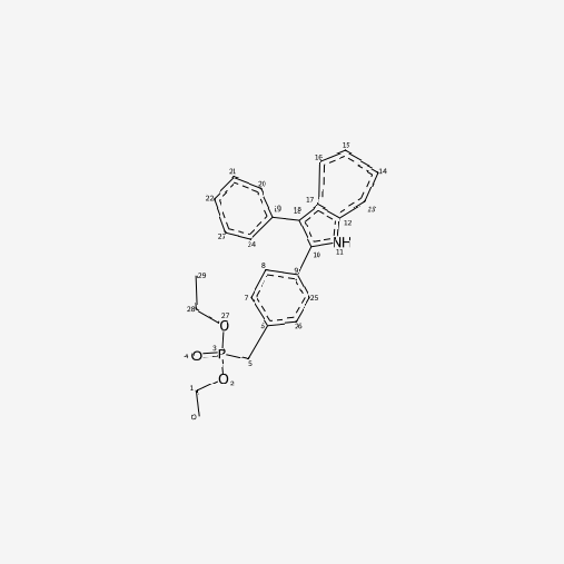 CCOP(=O)(Cc1ccc(-c2[nH]c3ccccc3c2-c2ccccc2)cc1)OCC